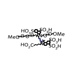 COCCOCCOCCOCCC1(C)C(/C=C/C=C2/N(CCCCCC(=O)O)c3ccc4c(S(=O)(=O)O)cc(S(=O)(=O)O)cc4c3C2(C)C)=[N+](CCOCCOCCOC)c2cc(S(=O)(=O)O)c3ccc(S(=O)(=O)O)cc3c21